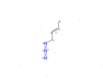 [CH2]/C=C/CN=[N+]=[N-]